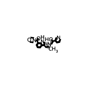 C[C@H](Cc1c[nH]c2c(C(=O)N3CCOCC3)cccc12)NC[C@@H](O)c1cccnc1